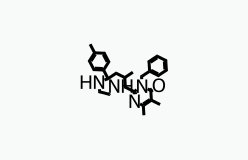 Cc1ccc(C2(CC(C)Cc3nc(C)c(C)c(=O)n3Cc3ccccc3)NCCN2)cc1